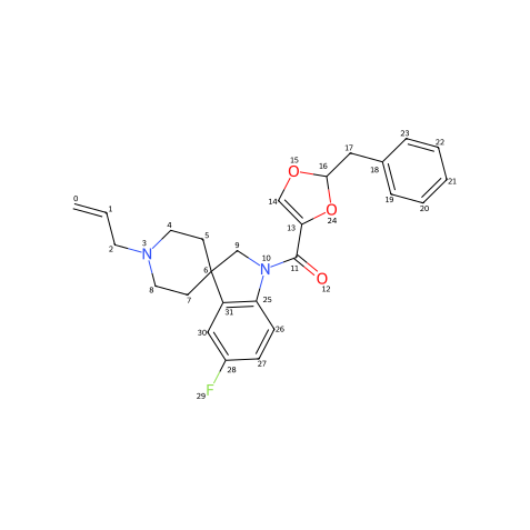 C=CCN1CCC2(CC1)CN(C(=O)C1=COC(Cc3ccccc3)O1)c1ccc(F)cc12